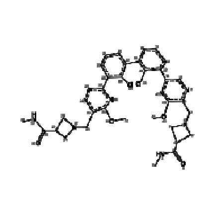 CNC(=O)C1CN(Cc2ncc(-c3cccc(-c4cccc(-c5cnc(CN6CC(C(=O)NC)C6)c(OC)n5)c4Cl)c3Cl)nc2OC)C1